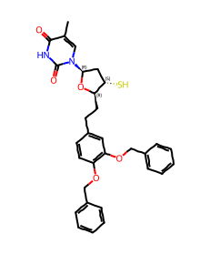 Cc1cn([C@H]2C[C@H](S)[C@@H](CCc3ccc(OCc4ccccc4)c(OCc4ccccc4)c3)O2)c(=O)[nH]c1=O